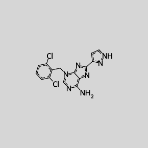 Nc1ncn(Cc2c(Cl)cccc2Cl)c2nc(-c3cc[nH]n3)nc1-2